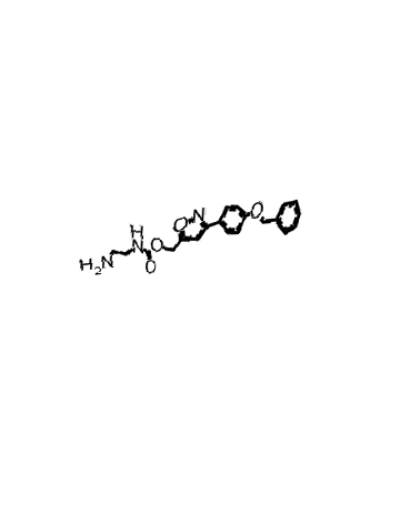 NCCNC(=O)OCc1cc(-c2ccc(OCc3ccccc3)cc2)no1